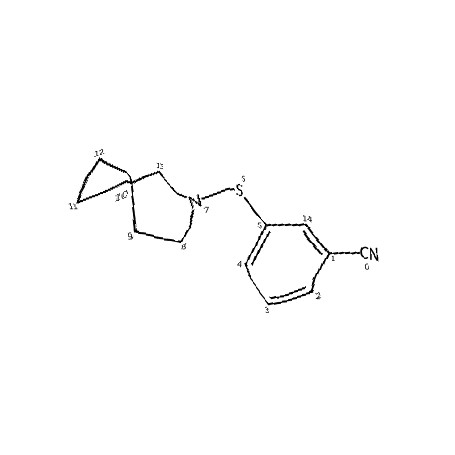 N#Cc1cccc(SN2CCC3(CC3)C2)c1